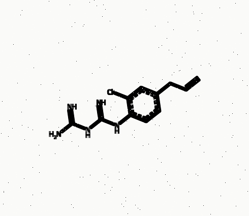 C=CCc1ccc(NC(=N)NC(=N)N)c(Cl)c1